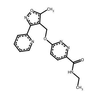 CCNC(=O)c1ccc(OCc2c(-c3ccccn3)noc2C)nn1